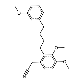 COc1cccc(CCCCc2c(CC#N)ccc(OC)c2OC)c1